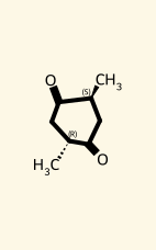 C[C@@H]1CC(=O)[C@@H](C)CC1=O